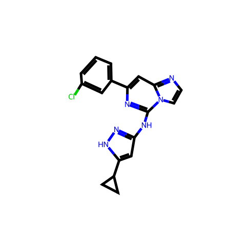 Clc1cccc(-c2cc3nccn3c(Nc3cc(C4CC4)[nH]n3)n2)c1